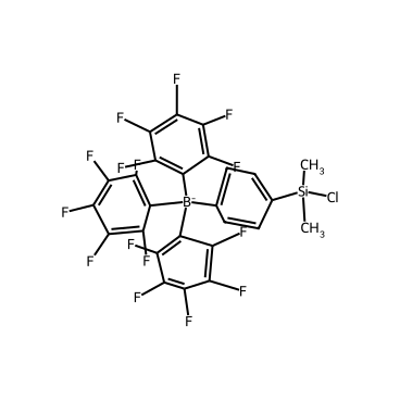 C[Si](C)(Cl)c1ccc([B-](c2c(F)c(F)c(F)c(F)c2F)(c2c(F)c(F)c(F)c(F)c2F)c2c(F)c(F)c(F)c(F)c2F)cc1